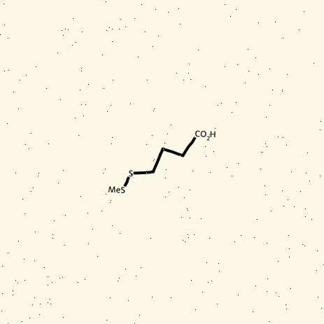 CSSCCCC(=O)O